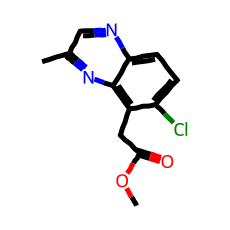 COC(=O)Cc1c(Cl)ccc2ncc(C)nc12